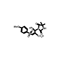 CCCC(C(=CS(=O)(=O)c1ccc(OC)cc1)C(=O)O)N1C(=O)NC(C)(C)C1=O